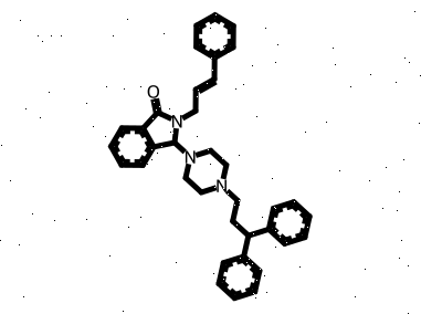 O=C1c2ccccc2C(N2CCN(CCC(c3ccccc3)c3ccccc3)CC2)N1CC=Cc1ccccc1